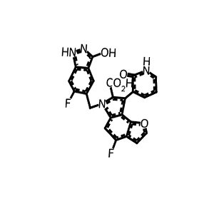 O=C(O)c1c(-c2ccc[nH]c2=O)c2c3occc3c(F)cc2n1Cc1cc2c(O)n[nH]c2cc1F